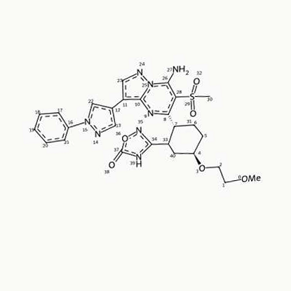 COCCO[C@@H]1CC[C@@H](c2nc3c(-c4cnn(-c5ccccc5)c4)cnn3c(N)c2S(C)(=O)=O)C(c2noc(=O)[nH]2)C1